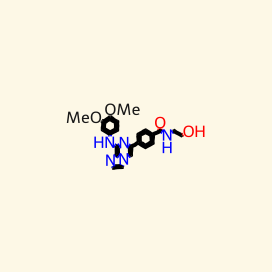 COc1ccc(Nc2nc(-c3ccc(C(=O)NCCO)cc3)cn3ccnc23)cc1OC